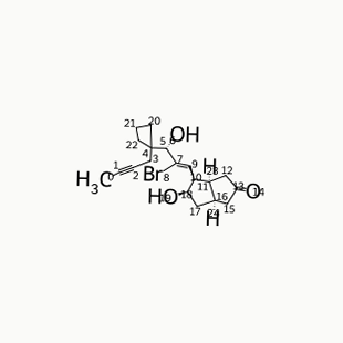 CC#CCC1([C@H](O)/C(Br)=C/[C@H]2[C@H]3CC(=O)C[C@H]3C[C@H]2O)CCC1